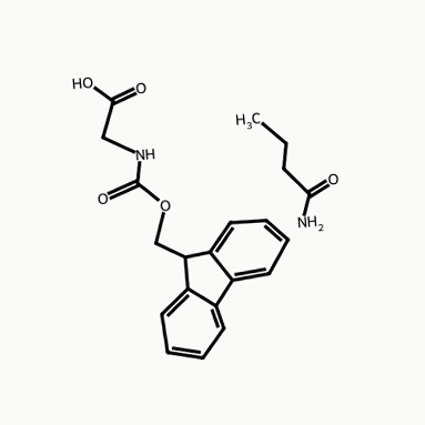 CCCC(N)=O.O=C(O)CNC(=O)OCC1c2ccccc2-c2ccccc21